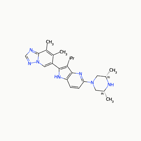 Cc1c(-c2[nH]c3ccc(N4C[C@@H](C)N[C@@H](C)C4)nc3c2C(C)C)cn2ncnc2c1C